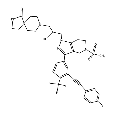 CS(=O)(=O)N1CCc2c(c(-c3ccc(C(F)(F)F)c(C#Cc4ccc(Cl)cc4)c3)nn2CC(O)CN2CCC3(CCNC3=O)CC2)C1